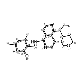 CCN(c1cccc2c(NCc3c(C)cc(C)[nH]c3=O)nccc12)C1CCOCC1